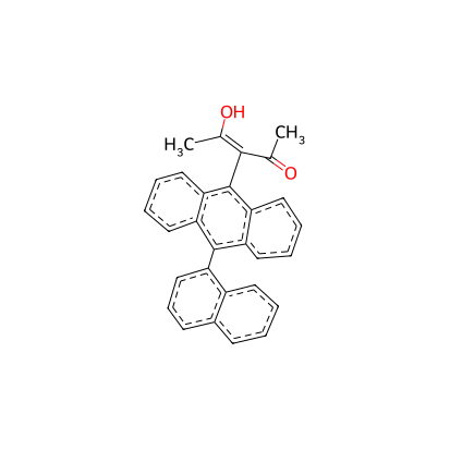 CC(=O)/C(=C(/C)O)c1c2ccccc2c(-c2cccc3ccccc23)c2ccccc12